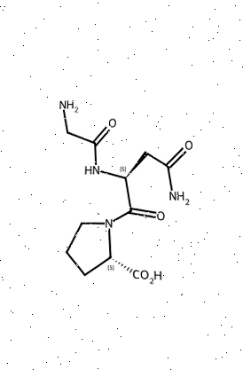 NCC(=O)N[C@@H](CC(N)=O)C(=O)N1CCC[C@H]1C(=O)O